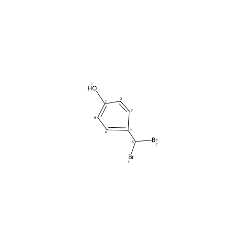 Oc1ccc(C(Br)Br)cc1